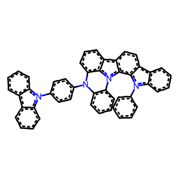 c1ccc(-n2c3ccccc3c3ccc4c5cccc6c5n(c4c32)-c2ccccc2N6c2ccc(-n3c4ccccc4c4ccccc43)cc2)cc1